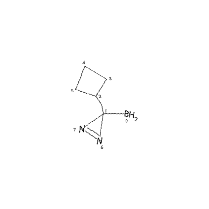 BC1(C2CCC2)N=N1